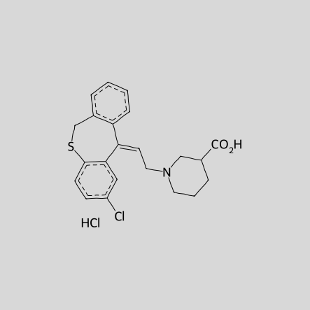 Cl.O=C(O)C1CCCN(CC=C2c3ccccc3CSc3ccc(Cl)cc32)C1